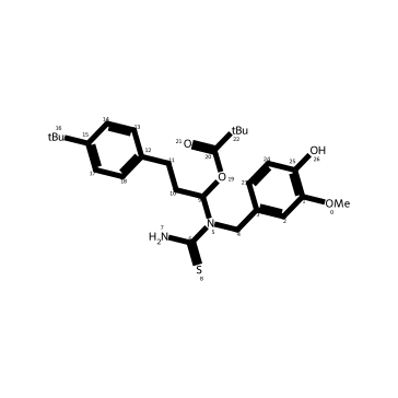 COc1cc(CN(C(N)=S)C(CCc2ccc(C(C)(C)C)cc2)OC(=O)C(C)(C)C)ccc1O